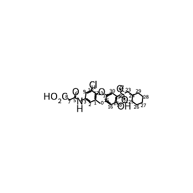 Cc1cc(NC(=O)CC(=O)O)cc(Cl)c1Oc1ccc(O)c(S(=O)(=O)CC2CCCCC2)c1